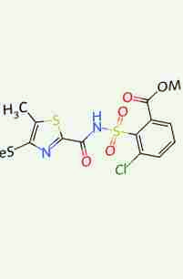 COC(=O)c1cccc(Cl)c1S(=O)(=O)NC(=O)c1nc(SC)c(C)s1